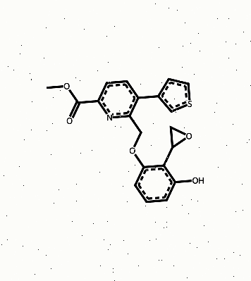 COC(=O)c1ccc(-c2ccsc2)c(COc2cccc(O)c2C2CO2)n1